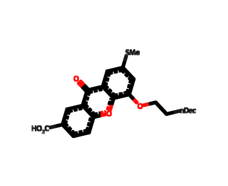 CCCCCCCCCCCCOc1cc(SC)cc2c(=O)c3cc(C(=O)O)ccc3oc12